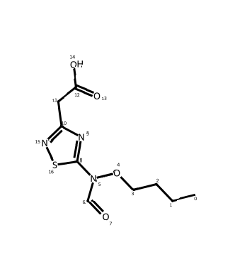 CCCCON(C=O)c1nc(CC(=O)O)ns1